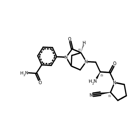 N#C[C@@H]1CCCN1C(=O)[C@@H](N)CN1CC2C[C@H]1C(=O)N2c1cccc(C(N)=O)c1